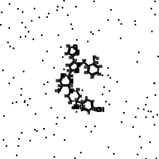 NC1(c2ccc(O)cc2)CCN(c2nc(-c3cc(-c4ccon4)n(Cc4ccccc4F)n3)ncc2F)CC1